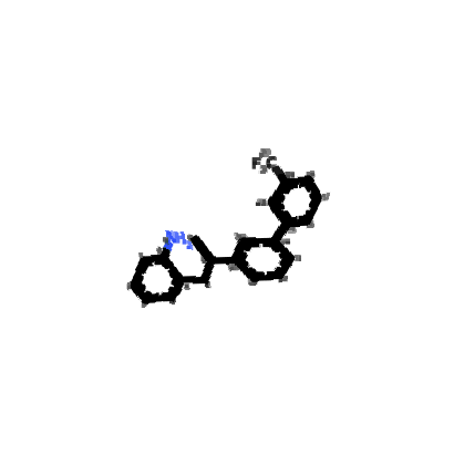 C=C(Cc1ccccc1N)c1cccc(-c2cccc(C(F)(F)F)c2)c1